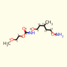 COCCOC(=O)NOCCC(C)CCON